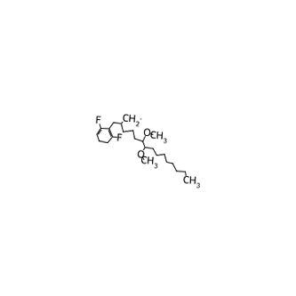 [CH2]C(CCCC(OC)C(CCCCCCCC)OC)CC1=C(F)CCC=C1F